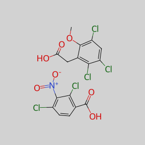 COc1c(Cl)cc(Cl)c(Cl)c1CC(=O)O.O=C(O)c1ccc(Cl)c([N+](=O)[O-])c1Cl